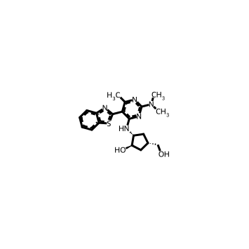 Cc1nc(N(C)C)nc(N[C@@H]2C[C@H](CO)C[C@H]2O)c1-c1nc2ccccc2s1